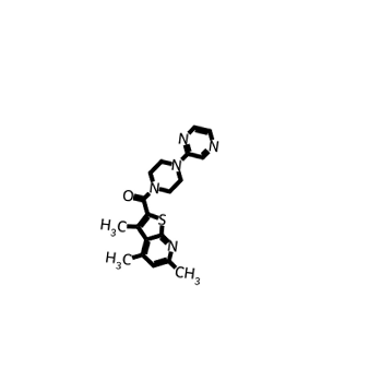 Cc1cc(C)c2c(C)c(C(=O)N3CCN(c4cnccn4)CC3)sc2n1